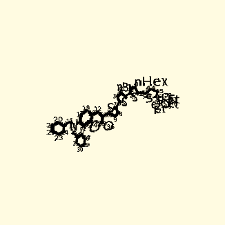 CCCCCCc1cc(-c2sc(-c3ccc(-c4cc5ccc(N(Cc6ccccc6)Cc6ccccc6)cc5oc4=O)s3)cc2CCCC)sc1C1CCC([Si](OCC)(OCC)OCC)S1